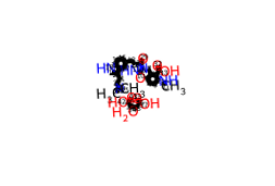 CNc1cccc(CN2C(=O)NC(Cc3ccc4[nH]cc(CCN(C)C)c4c3)C2=O)c1C(=O)O.O.O=C(O)/C=C\C(=O)O